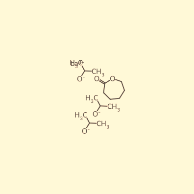 CC(C)[O-].CC(C)[O-].CC(C)[O-].O=C1CCCCCO1.[La+3]